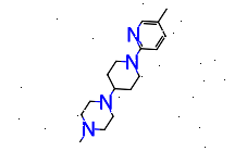 Cc1ccc(N2CCC(N3CCN(C)CC3)CC2)nc1